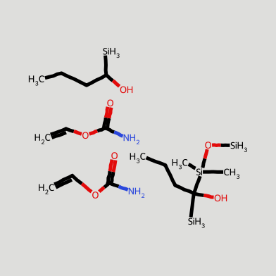 C=COC(N)=O.C=COC(N)=O.CCCC(O)([SiH3])[Si](C)(C)O[SiH3].CCCC(O)[SiH3]